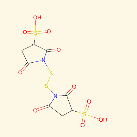 O=C1C[C](S(=O)(=O)O)C(=O)N1SSN1C(=O)C[C](S(=O)(=O)O)C1=O